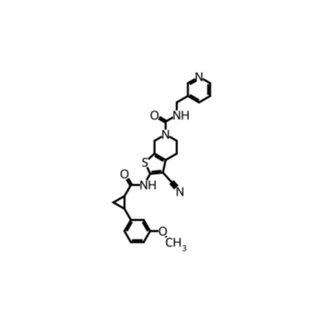 COc1cccc(C2CC2C(=O)Nc2sc3c(c2C#N)CCN(C(=O)NCc2cccnc2)C3)c1